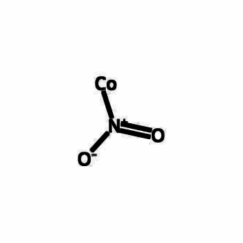 O=[N+]([O-])[Co]